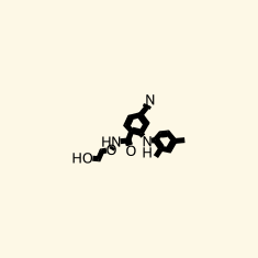 Cc1ccc(Nc2cc(C#N)ccc2C(=O)NOCCO)c(C)c1